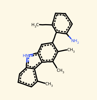 Cc1cccc(N)c1-c1cc2[nH]c3cccc(C)c3c2c(C)c1C